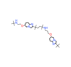 CC(C)(C)NCCOc1ccc2nc(C(C)(C)CCC(C)(C)NCCCOc3ccc4nc(C(C)(C)C)cn4c3)cn2c1